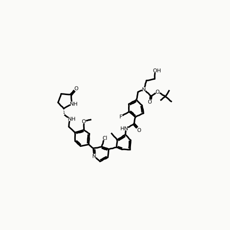 COc1cc(-c2nccc(-c3cccc(NC(=O)c4ccc(CN(CCO)C(=O)OC(C)(C)C)cc4F)c3C)c2Cl)ccc1CNC[C@@H]1CCC(=O)N1